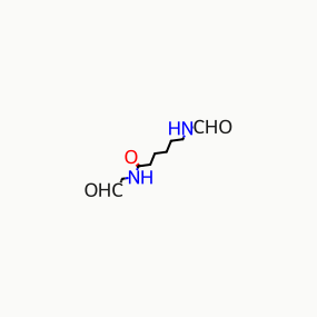 O=CCNC(=O)CCCCCNC=O